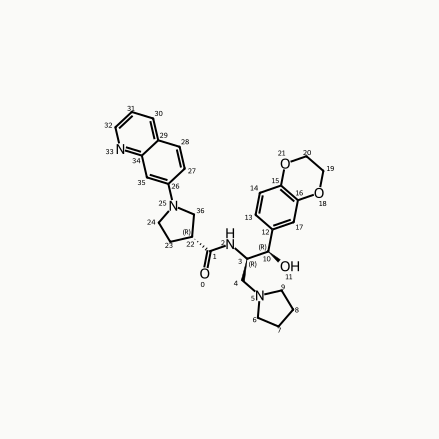 O=C(N[C@H](CN1CCCC1)[C@H](O)c1ccc2c(c1)OCCO2)[C@@H]1CCN(c2ccc3cccnc3c2)C1